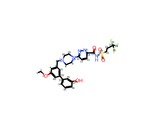 CCOc1cc(CN2CCN(c3ccc(C(=O)NS(=O)(=O)CCC(F)(F)F)nn3)CC2)cc(-c2cccc(O)c2)c1